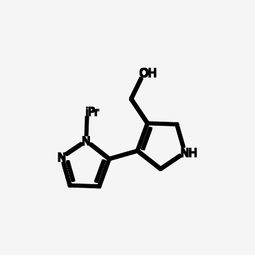 CC(C)n1nccc1C1=C(CO)CNC1